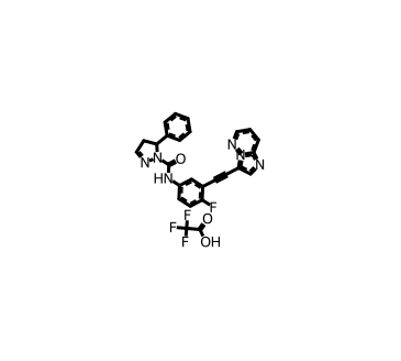 O=C(Nc1ccc(F)c(C#Cc2cnc3cccnn23)c1)N1N=CCC1c1ccccc1.O=C(O)C(F)(F)F